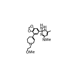 CNC1=NC(N)(c2cc3c(c(C4=CCN(CCOC)CCC4)c2)OCO3)NC(C)=C1